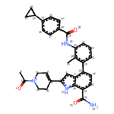 CC(=O)N1CC=C(c2cc3c(-c4cccc(NC(=O)c5ccc(C6CC6)cc5)c4C)ccc(C(N)=O)c3[nH]2)CC1